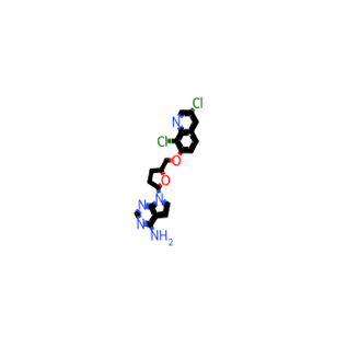 Nc1ncnc2c1ccn2C1CCC(COc2ccc3cc(Cl)cnc3c2Cl)O1